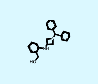 OCc1ccccc1NC1CN(C(c2ccccc2)c2ccccc2)C1